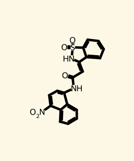 O=C(C=C1NS(=O)(=O)c2ccccc21)Nc1ccc([N+](=O)[O-])c2ccccc12